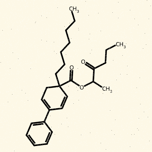 CCCCCCCC1(C(=O)OC(C)C(=O)CCC)C=CC(c2ccccc2)=CC1